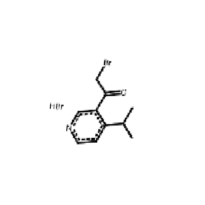 Br.CC(C)c1ccncc1C(=O)CBr